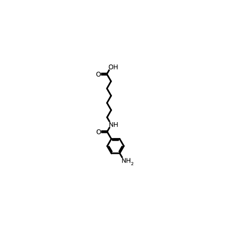 Nc1ccc(C(=O)NCCCCCCC(=O)O)cc1